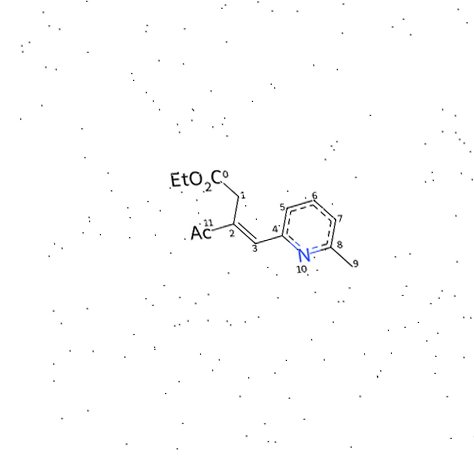 CCOC(=O)C/C(=C\c1cccc(C)n1)C(C)=O